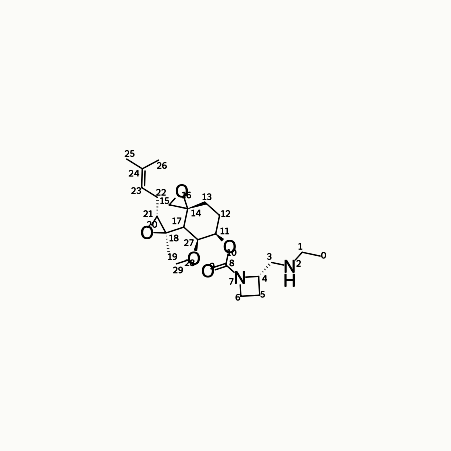 CCNC[C@@H]1CCN1C(=O)O[C@@H]1CC[C@]2(CO2)C([C@@]2(C)O[C@@H]2CC=C(C)C)[C@@H]1OC